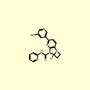 N#Cc1cncc(-c2ccc3c(n2)N(C(=O)Nc2ccccn2)[C@H]2CCN32)c1